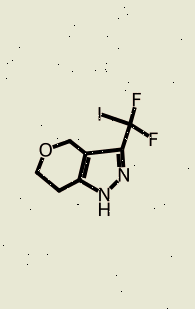 FC(F)(I)c1n[nH]c2c1COCC2